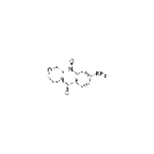 Nc1ccc(C(=O)N2CCOCC2)c(N=O)c1